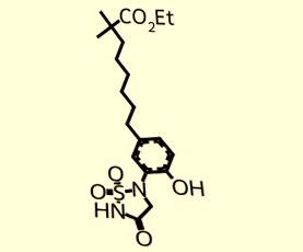 CCOC(=O)C(C)(C)CCCCCCc1ccc(O)c(N2CC(=O)NS2(=O)=O)c1